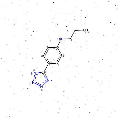 CCCNc1ccc(-c2nnn[nH]2)cc1